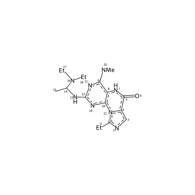 CCc1ncc2c(=O)[nH]c3c(NC)nc(NC(C)N(CC)CC)nc3n12